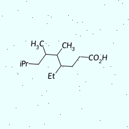 CCC(CCC(=O)O)C(C)C(C)CC(C)C